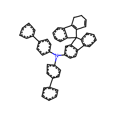 C1=CC2=C(CC1)c1ccccc1C21c2ccccc2-c2ccc(N(c3ccc(-c4ccccc4)cc3)c3ccc(-c4ccccc4)cc3)cc21